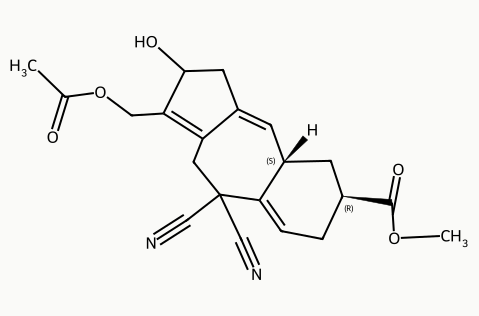 COC(=O)[C@H]1CC=C2[C@H](C=C3CC(O)C(COC(C)=O)=C3CC2(C#N)C#N)C1